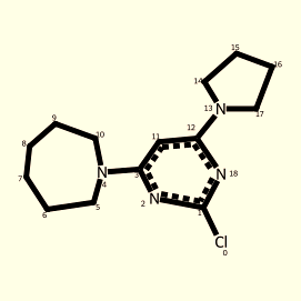 Clc1nc(N2CCCCCC2)cc(N2CCCC2)n1